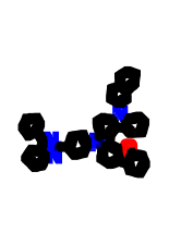 c1ccc(-c2nc(-c3ccc(-n4c5ccc6c7ccccc7oc6c5c5c6c7ccccc7n(-c7ccc8ccccc8c7)c6ccc54)cc3)nc3ccccc23)cc1